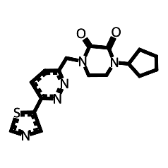 O=C1C(=O)N(C2CCCC2)CCN1Cc1ccc(-c2cncs2)nn1